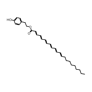 CCCCCCCCCC=CC=CC=CC=CC=CC=CC(=O)OCCc1ccc(O)cc1